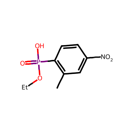 CCOP(=O)(O)c1ccc([N+](=O)[O-])cc1C